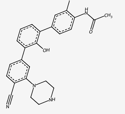 CC(=O)Nc1ccc(-c2cccc(-c3ccc(C#N)c(N4CCNCC4)c3)c2O)cc1F